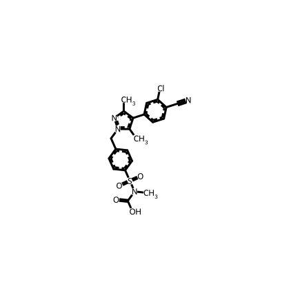 Cc1nn(Cc2ccc(S(=O)(=O)N(C)C(=O)O)cc2)c(C)c1-c1ccc(C#N)c(Cl)c1